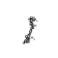 CN(C)C(=O)c1cc2cnc(Nc3ccc(N4CCN([C@H]5CCN(c6cccc7c6n(C)c(=O)n7[C@H]6CCC(=O)NC6=O)C5)CC4)cn3)nc2n1C1CCCC1